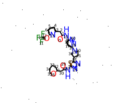 O=C(Cc1cccc(OC(F)(F)F)n1)Nc1ccc(N2CCC(c3nnc(NC(=O)CC4CCCCO4)s3)C2)nn1